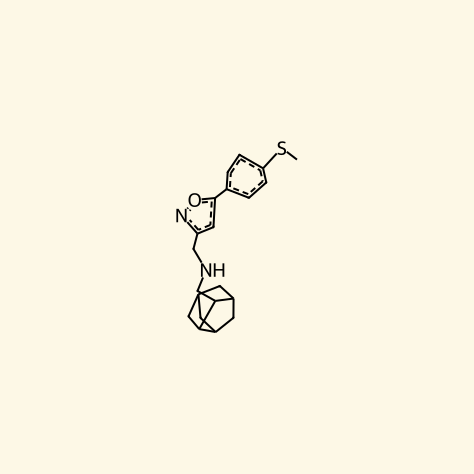 CSc1ccc(-c2cc(CNCC3C4CC5CC(C4)C3C5)no2)cc1